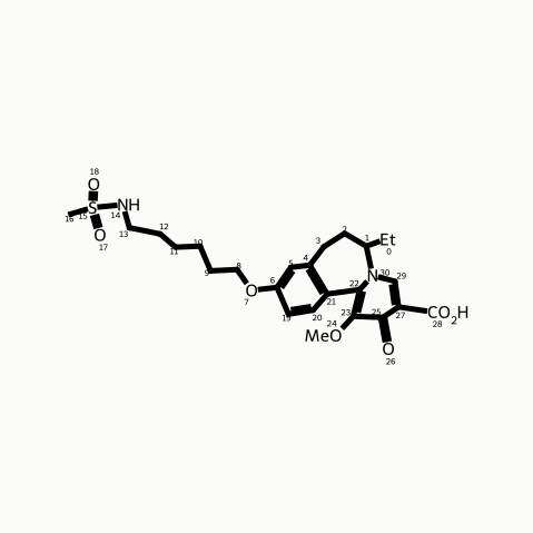 CCC1CCc2cc(OCCCCCCNS(C)(=O)=O)ccc2-c2c(OC)c(=O)c(C(=O)O)cn21